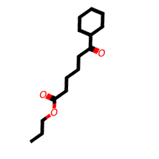 CCCOC(=O)CCCCC(=O)C1CCCCC1